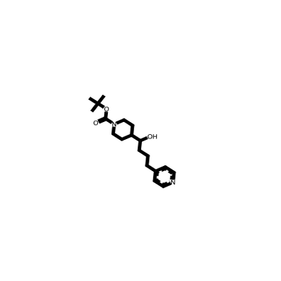 CC(C)(C)OC(=O)N1CCC(C(O)CCCc2ccncc2)CC1